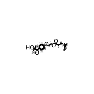 CC1CN1CCC(=O)OCCOc1ccc(C(=O)C(C)(C)O)cc1